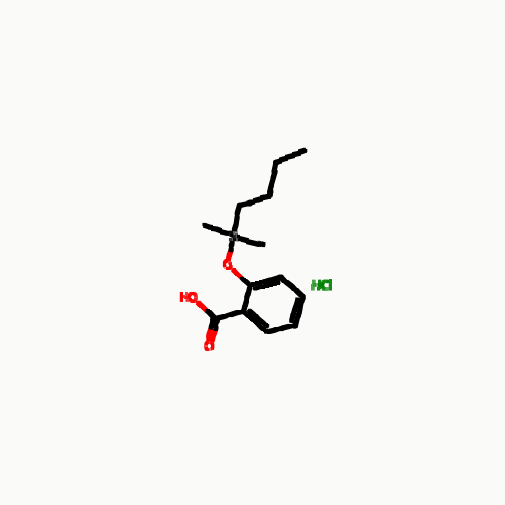 CCCC[Si](C)(C)Oc1ccccc1C(=O)O.Cl